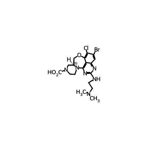 CN(C)CCNc1nc2c3c(c(Cl)c(Br)cc3n1)OC[C@@H]1CN(C(=O)O)CCN21